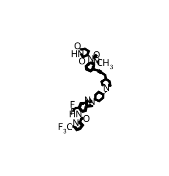 Cn1c(=O)n(C2CCC(=O)NC2=O)c2cccc(C#CCC3CCN(C[C@H]4CC[C@H](n5cc6cc(NC(=O)c7cccc(C(F)(F)F)n7)c(C(F)F)cc6n5)CC4)CC3)c21